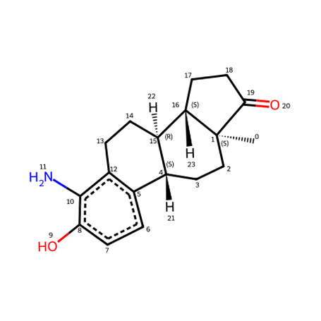 C[C@]12CC[C@@H]3c4ccc(O)c(N)c4CC[C@H]3[C@@H]1CCC2=O